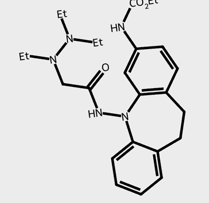 CCOC(=O)Nc1ccc2c(c1)N(NC(=O)CN(CC)N(CC)CC)c1ccccc1CC2